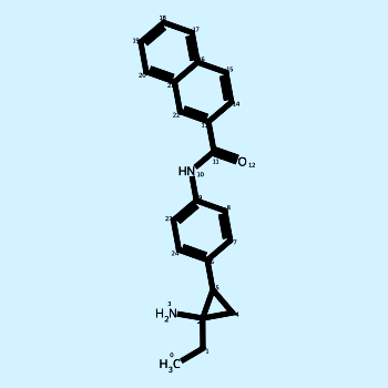 CCC1(N)CC1c1ccc(NC(=O)c2ccc3ccccc3c2)cc1